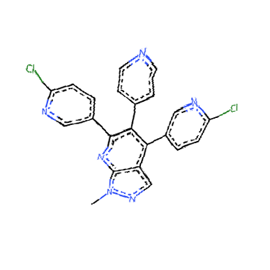 Cn1ncc2c(-c3ccc(Cl)nc3)c(-c3ccncc3)c(-c3ccc(Cl)nc3)nc21